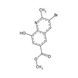 COC(=O)c1cc(O)c2nc(C)c(Br)cc2c1